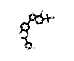 CC(Oc1cc(-c2cnc3c(F)c(C(C)(C)O)ccn23)ccc1F)c1c[nH]nn1